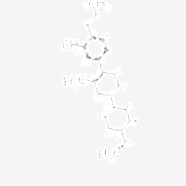 CCCc1ccc(C2=C(C)CC(C3CCC(CC)CC3)CC2)cc1Cl